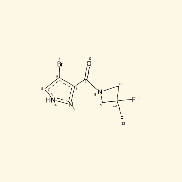 O=C(c1n[nH]cc1Br)N1CC(F)(F)C1